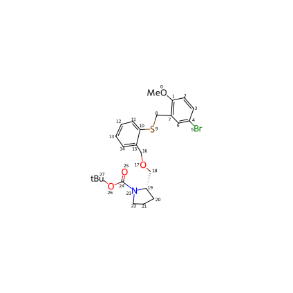 COc1ccc(Br)cc1CSc1ccccc1COC[C@@H]1CCCN1C(=O)OC(C)(C)C